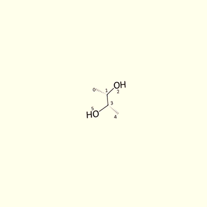 C[C@H](O)[C@H](C)O